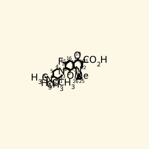 COc1c(N2CCC(N(C)C)C(C)(C)C2)c(F)cc2c(=O)c(C(=O)O)cn(C3CC3)c12